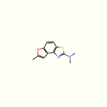 Cc1cc2c(ccc3sc(N(C)C)nc32)o1